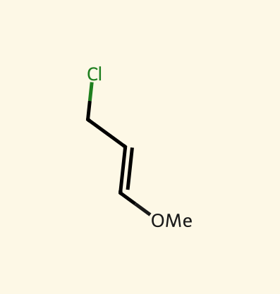 [CH2]OC=CCCl